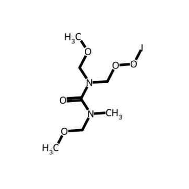 COCN(C)C(=O)N(COC)COOI